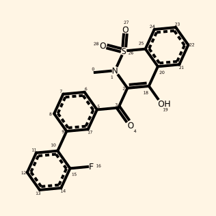 CN1C(C(=O)c2cccc(-c3ccccc3F)c2)=C(O)c2ccccc2S1(=O)=O